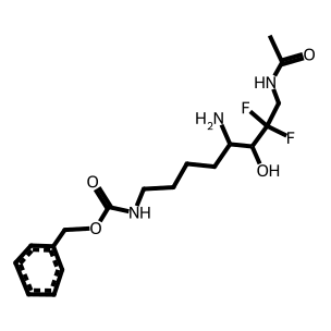 CC(=O)NCC(F)(F)C(O)C(N)CCCCNC(=O)OCc1ccccc1